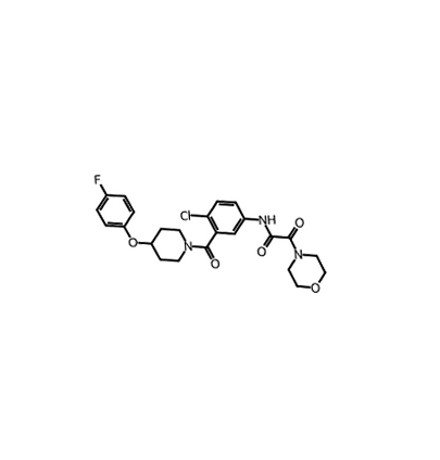 O=C(Nc1ccc(Cl)c(C(=O)N2CCC(Oc3ccc(F)cc3)CC2)c1)C(=O)N1CCOCC1